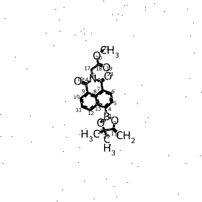 C=C1OB(c2ccc3c4c(cccc24)C(=O)N(CC(=O)OC)C3=O)OC1(C)C